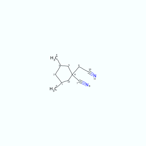 CC1CC(C)CC(C#N)(CC#N)C1